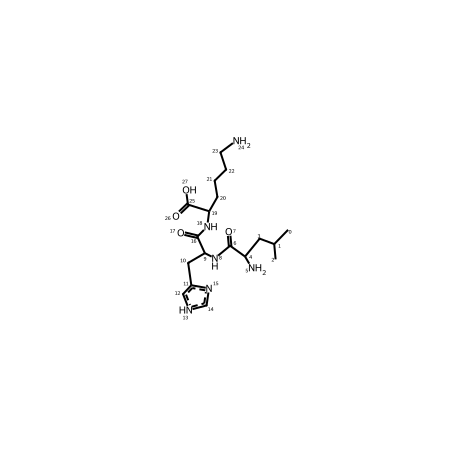 CC(C)CC(N)C(=O)NC(Cc1c[nH]cn1)C(=O)NC(CCCCN)C(=O)O